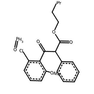 COc1cccc(Cl)c1C(=O)C(C(=O)OCCC(C)C)c1ccccc1.O=[PH3]